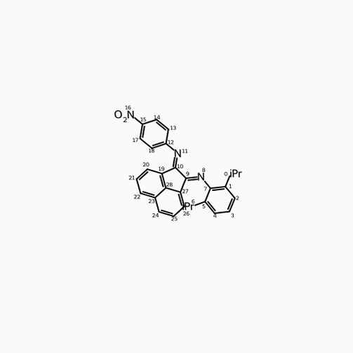 CC(C)c1cccc(C(C)C)c1/N=C1/C(=N/c2ccc([N+](=O)[O-])cc2)c2cccc3cccc1c23